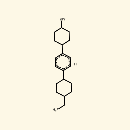 CCCC1CCC(c2ccc(C3CCC(CP)CC3)cc2)CC1.I